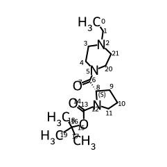 CCN1CCN(C(=O)[C@@H]2CCCN2C(=O)OC(C)(C)C)CC1